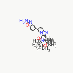 BC1(B)OC(B)(B)C(B)(B)N(C(=O)c2cnc3ccc(-c4ccc5oc(N)nc5c4)cn23)C1(B)B